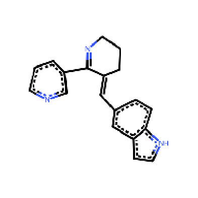 C(=C1CCCN=C1c1cccnc1)c1ccc2[nH]ccc2c1